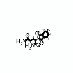 NC(=O)CCC(C(N)=O)N1C(=O)c2ccccc2C1=O